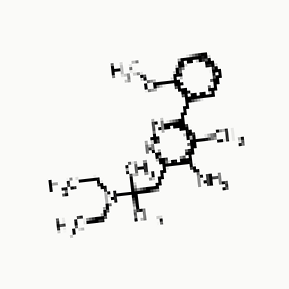 CCN(CC)C(C)(C)Cc1nnc(-c2ccccc2OC)c(C)c1N